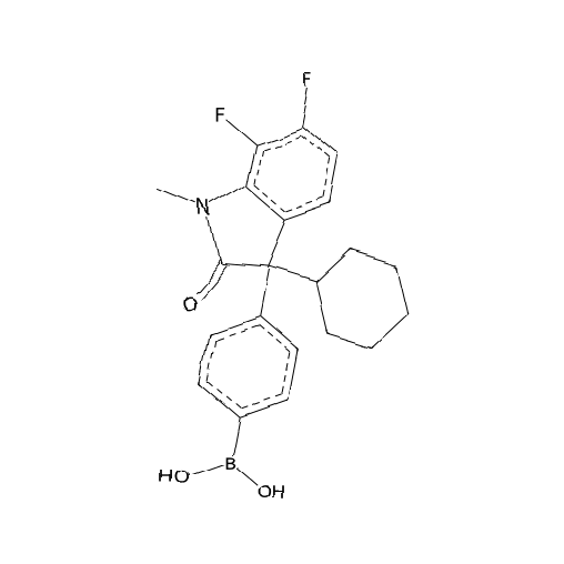 CN1C(=O)C(c2ccc(B(O)O)cc2)(C2CCCCC2)c2ccc(F)c(F)c21